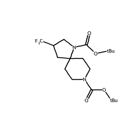 CC(C)(C)OC(=O)N1CCC2(CC1)CC(C(F)(F)F)CN2C(=O)OC(C)(C)C